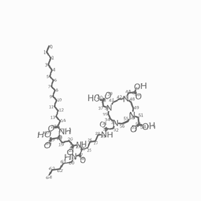 CCCCCCCCCCCCCCCC(=O)N[C@@H](CCC(=O)N[C@@H](CCCCNC(=O)CN1CCN(CC(=O)O)CCN(CC(=O)O)CCN(CC(=O)O)CC1)C(=O)NCCCCC)C(=O)O